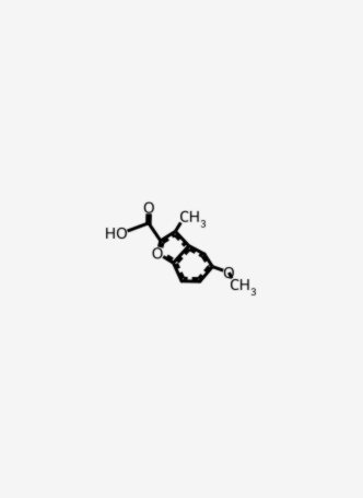 COc1ccc2oc(C(=O)O)c(C)c2c1